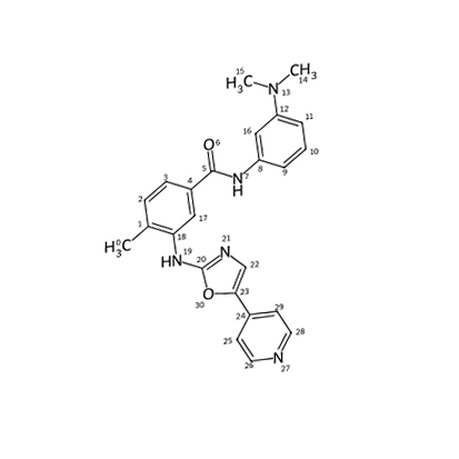 Cc1ccc(C(=O)Nc2cccc(N(C)C)c2)cc1Nc1ncc(-c2ccncc2)o1